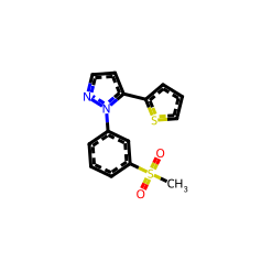 CS(=O)(=O)c1cccc(-n2nccc2-c2cccs2)c1